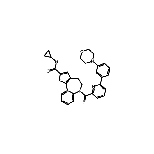 O=C(NC1CC1)c1cc2c(s1)-c1ccccc1N(C(=O)c1cccc(-c3cccc(N4CCOCC4)c3)n1)CC2